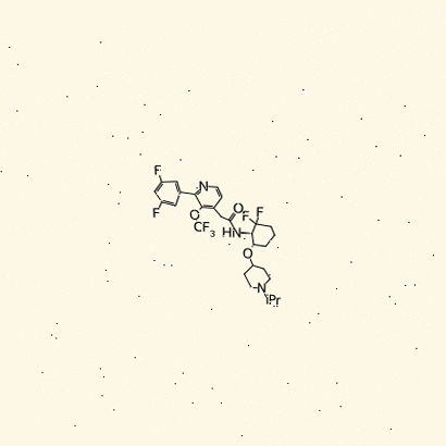 CC(C)N1CCC(O[C@H]2CCCC(F)(F)[C@@H]2NC(=O)Cc2ccnc(-c3cc(F)cc(F)c3)c2OC(F)(F)F)CC1